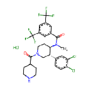 CN(C(=O)c1cc(C(F)(F)F)cc(C(F)(F)F)c1)[C@@H]1CCN(C(=O)C2CCNCC2)C[C@H]1c1ccc(Cl)c(Cl)c1.Cl